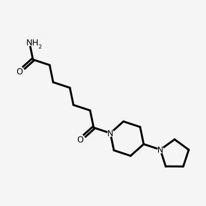 NC(=O)CCCCCC(=O)N1CCC(N2CCCC2)CC1